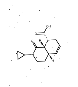 O=C(O)[C@@H]1CC=C[C@@H]2CCN(C3CC3)C(=O)[C@@H]21